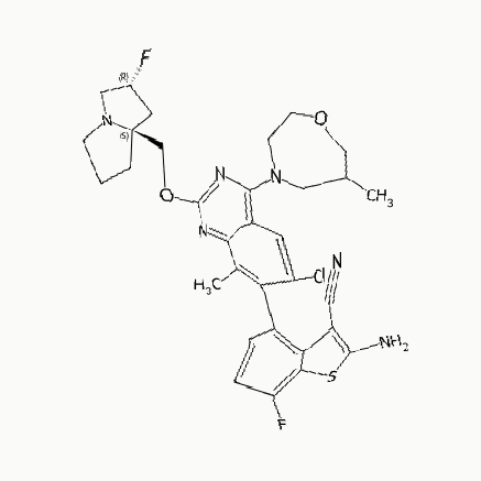 Cc1c(-c2ccc(F)c3sc(N)c(C#N)c23)c(Cl)cc2c(N3CCOCC(C)C3)nc(OC[C@@]34CCCN3C[C@H](F)C4)nc12